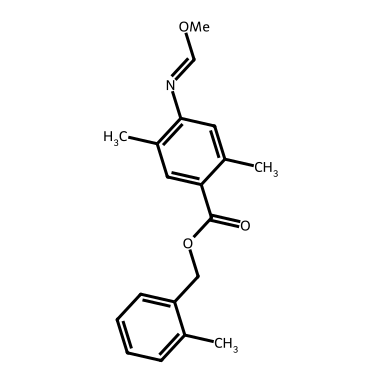 CO/C=N/c1cc(C)c(C(=O)OCc2ccccc2C)cc1C